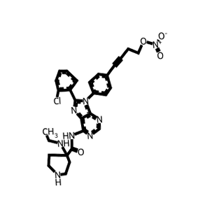 CCNC1(C(=O)Nc2ncnc3c2nc(-c2ccccc2Cl)n3-c2ccc(C#CCCO[N+](=O)[O-])cc2)CCNCC1